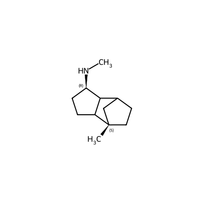 CN[C@@H]1CCC2C1C1CC[C@@]2(C)C1